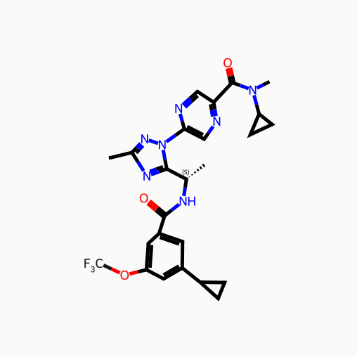 Cc1nc([C@H](C)NC(=O)c2cc(OC(F)(F)F)cc(C3CC3)c2)n(-c2cnc(C(=O)N(C)C3CC3)cn2)n1